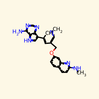 C=N/C=C(\C=C(/C)c1c[nH]c2c(N)ncnc12)COc1ccc2ccc(NC)nc2c1